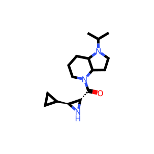 CC(C)N1CCC2C1CCCN2C(=O)[C@@H]1N[C@H]1C1CC1